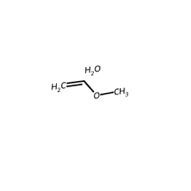 C=COC.O